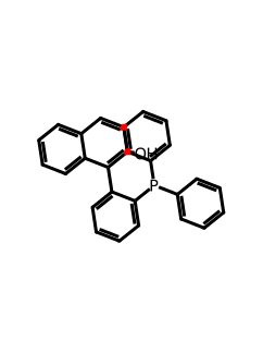 Oc1ccc2ccccc2c1-c1ccccc1P(c1ccccc1)c1ccccc1